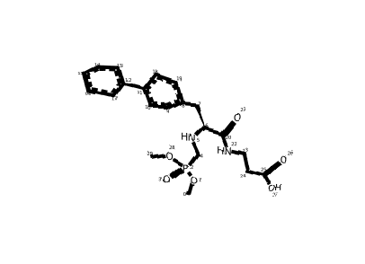 COP(=O)(CN[C@@H](Cc1ccc(-c2ccccc2)cc1)C(=O)NCCC(=O)O)OC